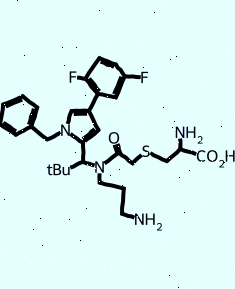 CC(C)(C)C(c1cc(-c2cc(F)ccc2F)cn1Cc1ccccc1)N(CCCN)C(=O)CSCC(N)C(=O)O